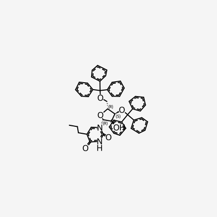 CCCc1cn([C@@H]2O[C@H](COC(c3ccccc3)(c3ccccc3)c3ccccc3)[C@@H](OC(c3ccccc3)(c3ccccc3)c3ccccc3)[C@H]2O)c(=O)[nH]c1=O